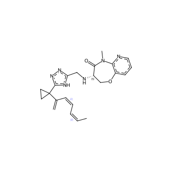 C=C(/C=C\C=C/C)C1(c2nnc(CN[C@H]3COc4cccnc4N(C)C3=O)[nH]2)CC1